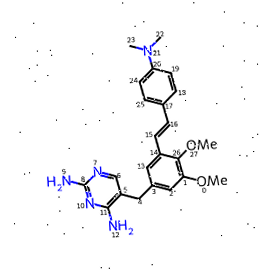 COc1cc(Cc2cnc(N)nc2N)cc(C=Cc2ccc(N(C)C)cc2)c1OC